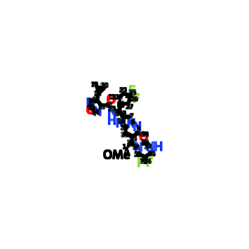 COC[C@H](c1cnn2cc([C@H](NC(=O)c3nonc3C3CC3)[C@@H]3CCC(F)(F)C3)nc2c1)N1CC(F)(F)CNC1=O